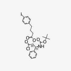 CC(C)(C)OC(=O)N[C@@H](c1ccccc1)[C@@H](OC(=O)CCCc1ccc(I)cc1)C(=O)Cl